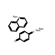 O=C1C=CC(=O)C=C1.[NaH].[NaH].[NaH].c1ccc2ncccc2c1